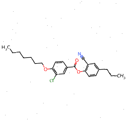 CCCCCCCOc1ccc(C(=O)Oc2ccc(CCC)cc2C#N)cc1Cl